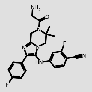 CC1(C)Cn2c(nc(-c3ccc(F)cc3)c2Nc2ccc(C#N)c(F)c2)CN1C(=O)CN